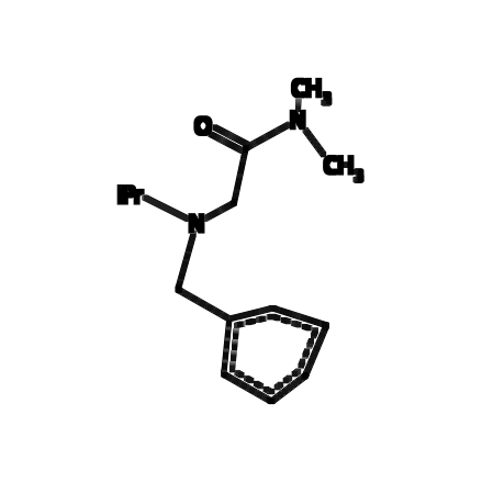 CC(C)N(CC(=O)N(C)C)Cc1ccccc1